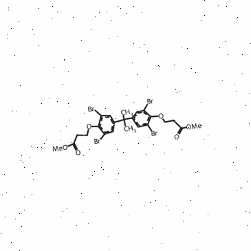 COC(=O)CCOc1c(Br)cc(C(C)(C)c2cc(Br)c(OCCC(=O)OC)c(Br)c2)cc1Br